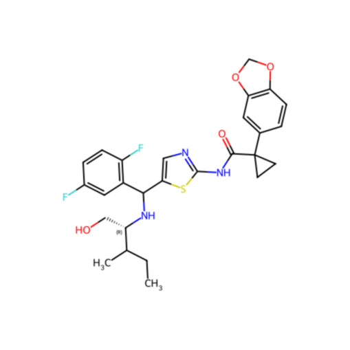 CCC(C)[C@H](CO)NC(c1cnc(NC(=O)C2(c3ccc4c(c3)OCO4)CC2)s1)c1cc(F)ccc1F